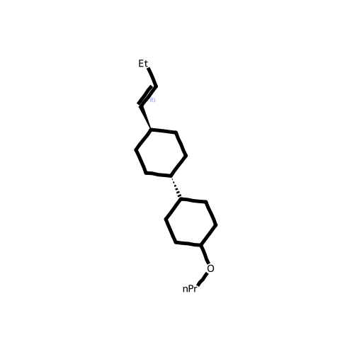 CC/C=C/[C@H]1CC[C@H](C2CCC(OCCC)CC2)CC1